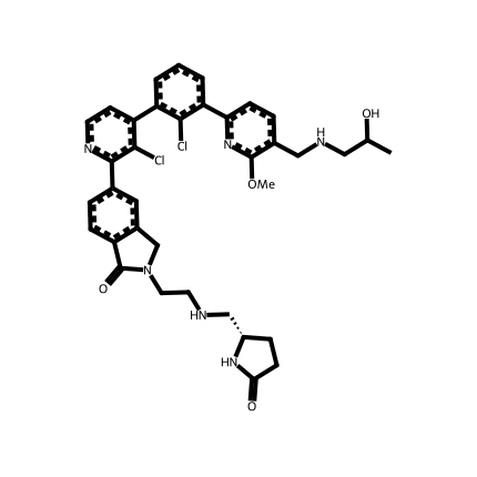 COc1nc(-c2cccc(-c3ccnc(-c4ccc5c(c4)CN(CCNC[C@@H]4CCC(=O)N4)C5=O)c3Cl)c2Cl)ccc1CNCC(C)O